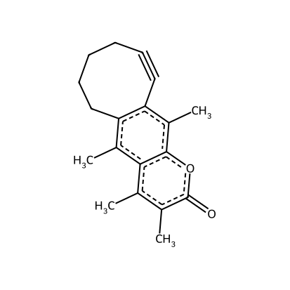 Cc1c(C)c2c(C)c3c(c(C)c2oc1=O)C#CCCCC3